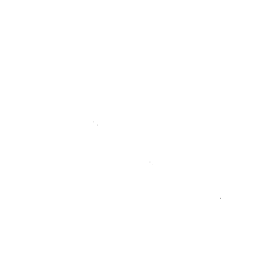 Cc1c(N2CC3CCNCC3C2)c(F)cn2c(=O)c(C(=O)O)cc(C3CC3)c12